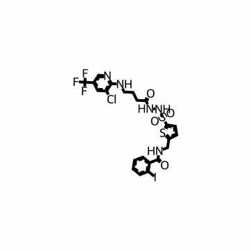 O=C(CCCNc1ncc(C(F)(F)F)cc1Cl)NNS(=O)(=O)c1ccc(CNC(=O)c2ccccc2I)s1